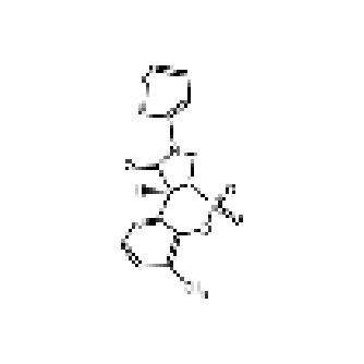 Cc1cccc2c1OS(=O)(=O)N1CN(c3ccccc3)C(=O)[C@@H]21